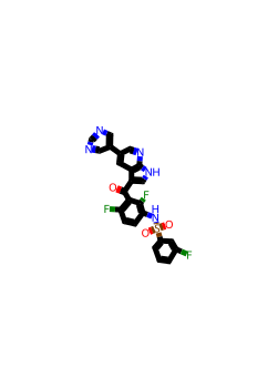 O=C(c1c(F)ccc(NS(=O)(=O)c2cccc(F)c2)c1F)c1c[nH]c2ncc(-c3cncnc3)cc12